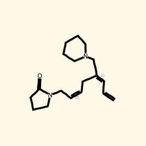 C=C/C=C(\C/C=C\CN1CCCC1=O)CN1CCCCC1